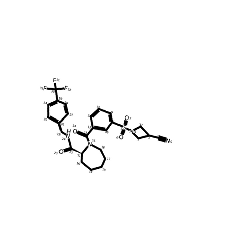 N#CC1CN(S(=O)(=O)c2cccc(C(=O)N3CCCCC[C@H]3C(=O)NCc3ccc(C(F)(F)F)cc3)c2)C1